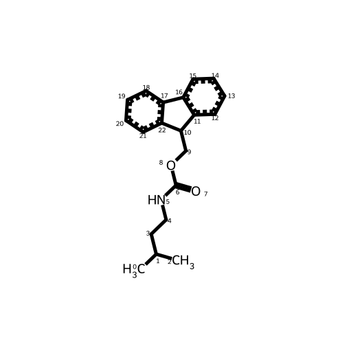 CC(C)CCNC(=O)OCC1c2ccccc2-c2ccccc21